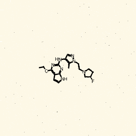 CCOc1nc(Nc2cnn(CCN3CC[C@@H](F)C3)c2C)nc2[nH]ccc12